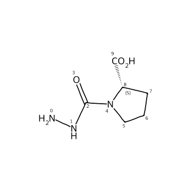 NNC(=O)N1CCC[C@H]1C(=O)O